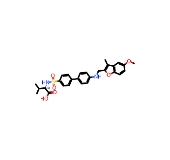 COc1ccc2oc(CNc3ccc(-c4ccc(S(=O)(=O)N[C@H](C(=O)O)C(C)C)cc4)cc3)c(C)c2c1